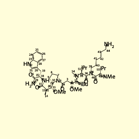 CC[C@H](C)[C@@H]([C@@H](CC(=O)N1CCC[C@H]1[C@H](OC)[C@@H](C)C(=O)N[C@@H](Cc1c[nH]c2ccccc12)C(N)=O)OC)N(C)[C@H](C(=O)N(CCCCCCN)C(=O)[C@@H](NC)C(C)C)C(C)C